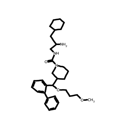 COCCCOC(c1ccccc1-c1ccccc1)C1CCCN(C(=O)NCC(N)CC2CCCCC2)C1